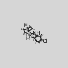 Cc1c(Cl)ccc2nc([C@]34CC[C@H]3CCN4)[nH]c12